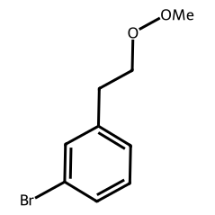 COOCCc1cccc(Br)c1